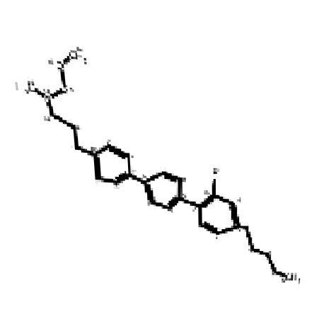 CCCCCc1ccc(-c2ccc(-c3ccc(CCCN(C)SOC)cc3)cc2)c(F)c1